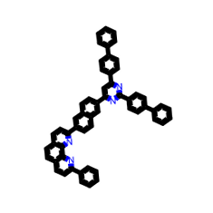 c1ccc(-c2ccc(-c3cc(-c4ccc5cc(-c6ccc7ccc8ccc(-c9ccccc9)nc8c7n6)ccc5c4)nc(-c4ccc(-c5ccccc5)cc4)n3)cc2)cc1